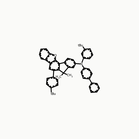 CC(C)(C)c1ccc(-c2cc3c(oc4ccccc43)c3c2C(C)(C)c2cc(N(c4ccc(-c5ccccc5)cc4)c4cccc(C(C)(C)C)c4)ccc2-3)cc1